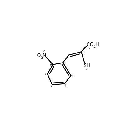 O=C(O)C(S)=Cc1ccccc1[N+](=O)[O-]